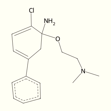 CN(C)CCOC1(N)CC(c2ccccc2)=CC=C1Cl